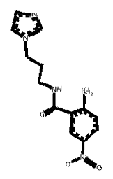 Nc1ccc([N+](=O)[O-])cc1C(=O)NCCCn1ccnc1